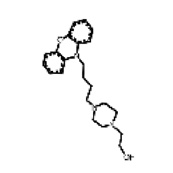 OCCN1CCN(CCCCN2c3ccccc3Oc3ccccc32)CC1